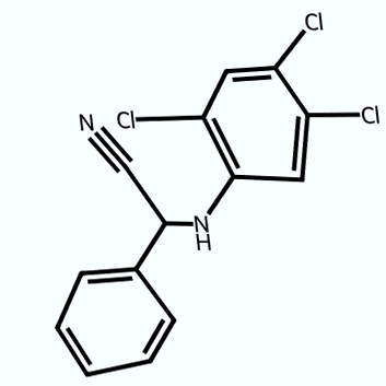 N#CC(Nc1cc(Cl)c(Cl)cc1Cl)c1ccccc1